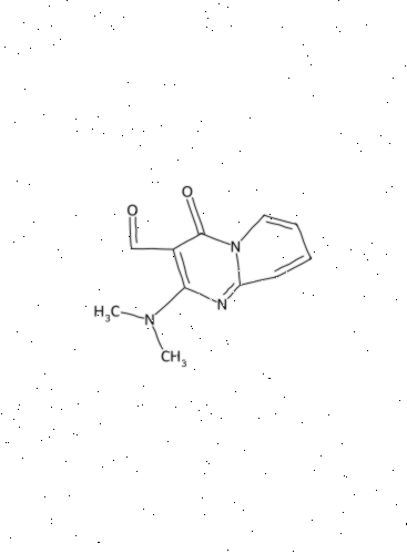 CN(C)c1nc2ccccn2c(=O)c1C=O